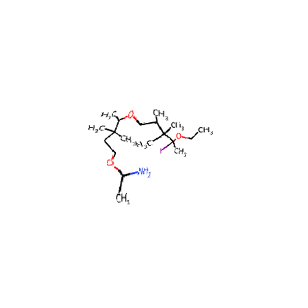 CCOC(C)(I)C(C)(C)C(C)COC(C)C(C)(C)CCOC(C)N